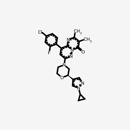 Cc1nc2c(-c3ccc(Cl)cc3F)cc(N3CCO[C@H](c4cnn(C5CC5)c4)C3)nn2c(=O)c1C